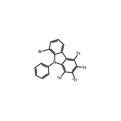 [2H]c1c([2H])c([2H])c2c(c1[2H])c1cccc(Br)c1n2-c1ccccc1